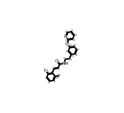 O=C(C=Cc1c(F)cccc1F)NCCc1cccc(Oc2ccccn2)c1